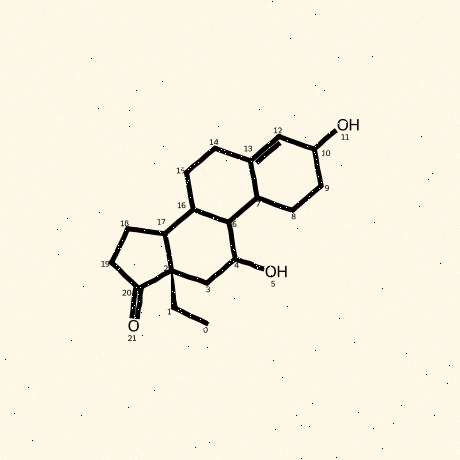 CC[C@]12CC(O)C3C4CCC(O)C=C4CCC3C1CCC2=O